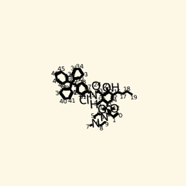 C=CC(N1CCN(C)CC1)S(=O)(=O)c1cc(CCCC)c(O)c(C(=O)Nc2ccc(C(c3ccccc3)(c3ccccc3)c3ccccc3)cc2Cl)c1C